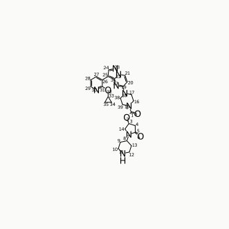 O=C(O[C@H]1CC(=O)N(C2CCNCC2)C1)N1CCN(c2ccn3ncc(-c4cccnc4OC4CC4)c3n2)CC1